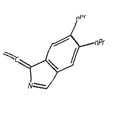 C=C=C1N=Cc2cc(CCC)c(CCC)cc21